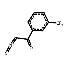 [N-]=[N+]=CC(=O)c1cccc(C(F)(F)F)c1